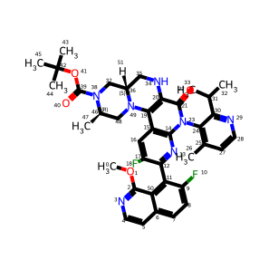 COc1nccc2ccc(F)c(-c3nc4c(cc3F)c3c(c(=O)n4-c4c(C)ccnc4C(C)C)NC[C@H]4CN(C(=O)OC(C)(C)C)[C@H](C)CN34)c12